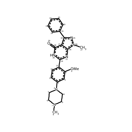 COc1cc(N2CCN(C)CC2)ccc1-c1nc2c(c(-c3ccccc3)nn2C)c(=O)[nH]1